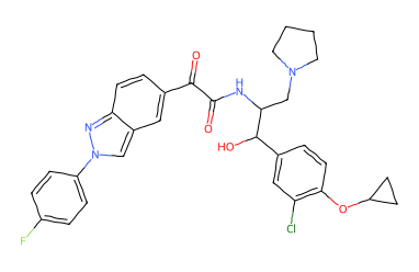 O=C(NC(CN1CCCC1)C(O)c1ccc(OC2CC2)c(Cl)c1)C(=O)c1ccc2nn(-c3ccc(F)cc3)cc2c1